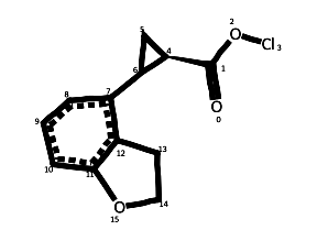 O=C(OCl)[C@@H]1CC1c1cccc2c1CCO2